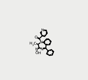 CC1C(=NO)N=C(c2ccccc2)c2ccccc2N1C(=O)c1cccnc1